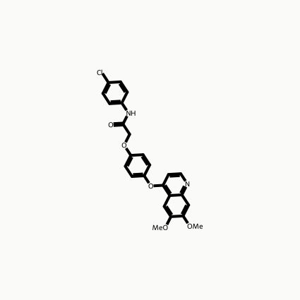 COc1cc2nccc(Oc3ccc(OCC(=O)Nc4ccc(Cl)cc4)cc3)c2cc1OC